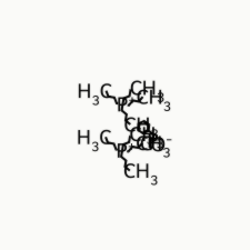 CCCC[P+](CCCC)(CCCC)CCCC.CCCC[P+](CCCC)(CCCC)CCCC.[O-]P([O-])Cc1ccccc1